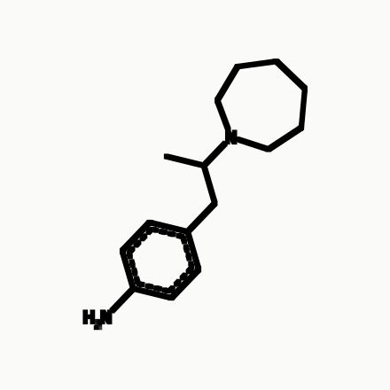 CC(Cc1ccc(N)cc1)N1CCCCCC1